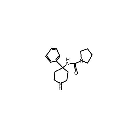 O=C(NC1(c2ccccc2)CCNCC1)N1CCCC1